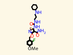 COc1ccc(COc2nsc(NC(=O)NCCCNC3CCCCC3)c2C(N)=O)c(F)c1